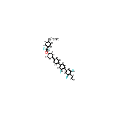 C/C=C/c1c(F)cc(-c2ccc(-c3ccc(C4CCC(OC(F)(F)c5ccc(CCCCC)cc5)CC4)cc3)cc2F)cc1F